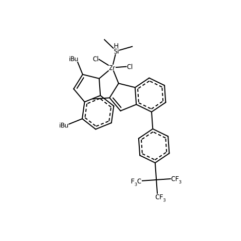 CCC(C)C1=Cc2c(C(C)CC)cccc2[CH]1[Zr]([Cl])([Cl])([CH]1C(C)=Cc2c(-c3ccc(C(C(F)(F)F)(C(F)(F)F)C(F)(F)F)cc3)cccc21)[SiH](C)C